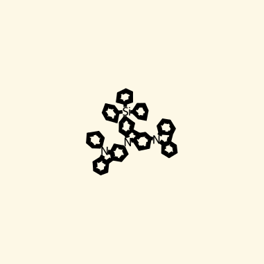 c1ccc(-n2c3ccccc3c3ccc(-n4c5ccc(-n6c7ccccc7c7ccccc76)cc5c5cc([Si](c6ccccc6)(c6ccccc6)c6ccccc6)ccc54)cc32)cc1